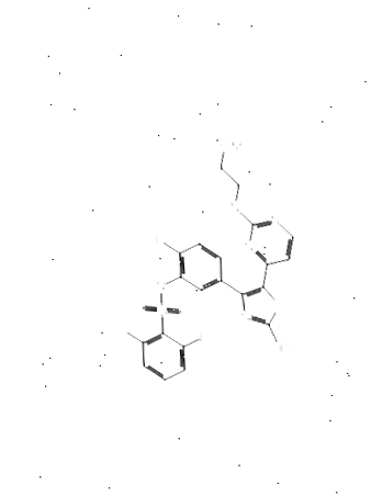 COCCNc1nccc(-c2sc(C(C)C)nc2-c2ccc(F)c(NS(=O)(=O)c3c(F)cccc3F)c2)n1